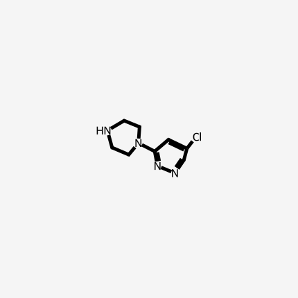 Clc1cnnc(N2CCNCC2)c1